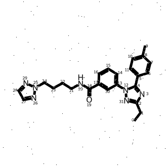 CCc1nc(-c2ccc(C)cc2)n(-c2cccc(C(=O)NCCCCn3nccn3)c2)n1